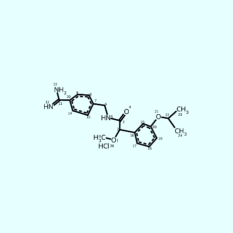 COC(C(=O)NCc1ccc(C(=N)N)cc1)c1cccc(OC(C)C)c1.Cl